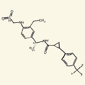 CCc1cc([C@@H](C)NC(=O)C2CC2c2ccc(C(F)(F)F)cc2)ccc1NC[SH](=O)=O